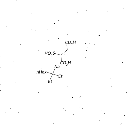 CCCCCC[C]([Na])(CC)CC.O=C(O)CC(C(=O)O)S(=O)(=O)O